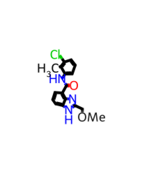 COCc1nc2c(C(=O)Nc3cccc(Cl)c3C)cccc2[nH]1